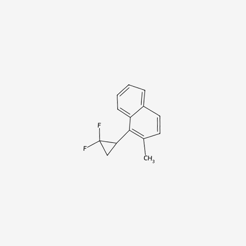 Cc1ccc2ccccc2c1C1CC1(F)F